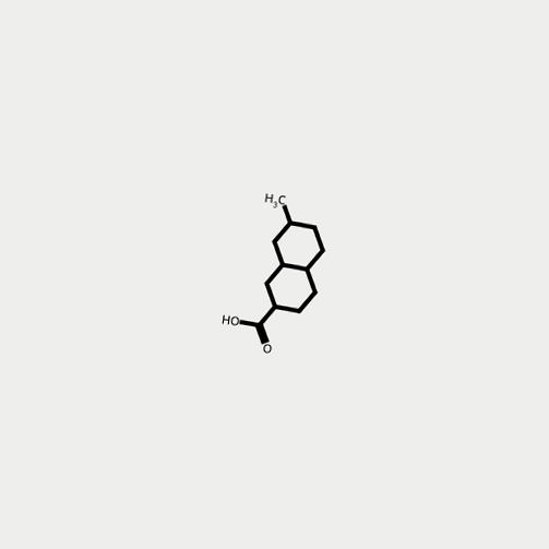 CC1CCC2CCC(C(=O)O)CC2C1